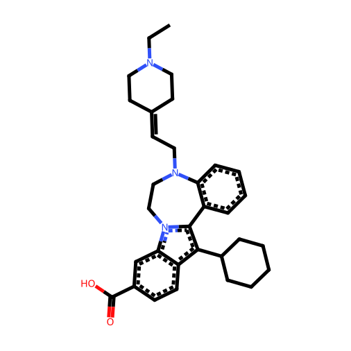 CCN1CCC(=CCN2CCn3c(c(C4CCCCC4)c4ccc(C(=O)O)cc43)-c3ccccc32)CC1